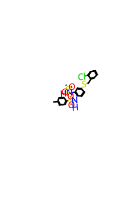 Cc1ccc(S(=O)(=O)Nc2ccc(SCc3ccccc3Cl)cc2NS(C)(=O)=O)cc1